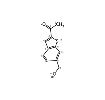 CC(=O)c1cc2ccc(CO)cc2s1